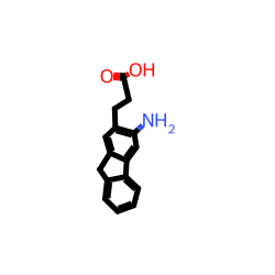 Nc1cc2c(cc1CCC(=O)O)Cc1ccccc1-2